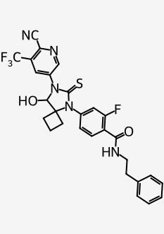 N#Cc1ncc(N2C(=S)N(c3ccc(C(=O)NCCc4ccccc4)c(F)c3)C3(CCC3)C2O)cc1C(F)(F)F